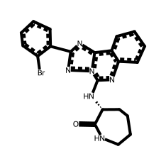 O=C1NCCCC[C@H]1Nc1nc2ccccc2c2nc(-c3ccccc3Br)nn12